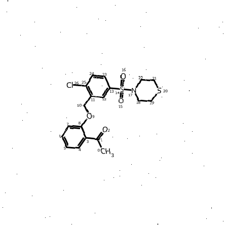 CC(=O)c1ccccc1OCc1cc(S(=O)(=O)N2CCSCC2)ccc1Cl